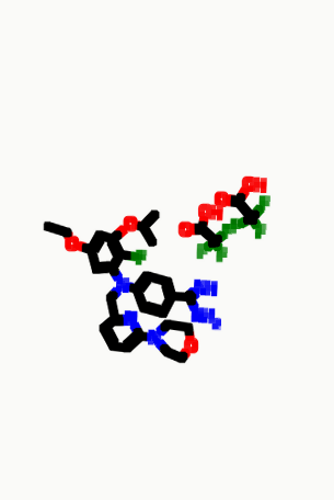 CCOc1cc(OC(C)C)c(F)c(N(Cc2cccc(N3CCOCC3)n2)c2ccc(C(=N)N)cc2)c1.O=C(O)C(F)(F)F.O=C(O)C(F)(F)F